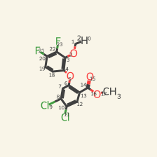 [2H]COc1c(Oc2cc(Cl)c(Cl)cc2C(=O)OC)ccc(F)c1F